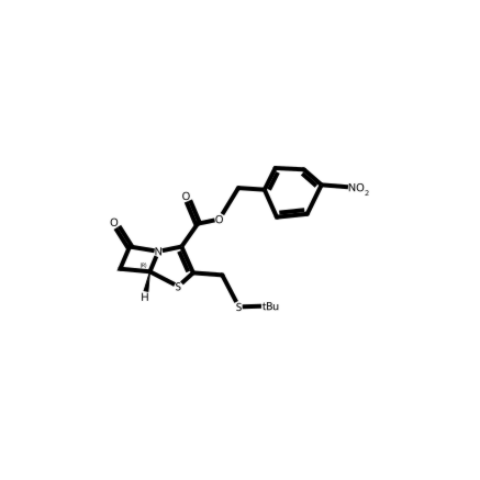 CC(C)(C)SCC1=C(C(=O)OCc2ccc([N+](=O)[O-])cc2)N2C(=O)C[C@H]2S1